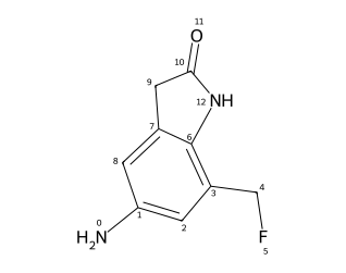 Nc1cc(CF)c2c(c1)CC(=O)N2